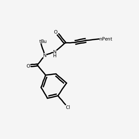 CCCCCC#CC(=O)NN(C(=O)c1ccc(Cl)cc1)C(C)(C)C